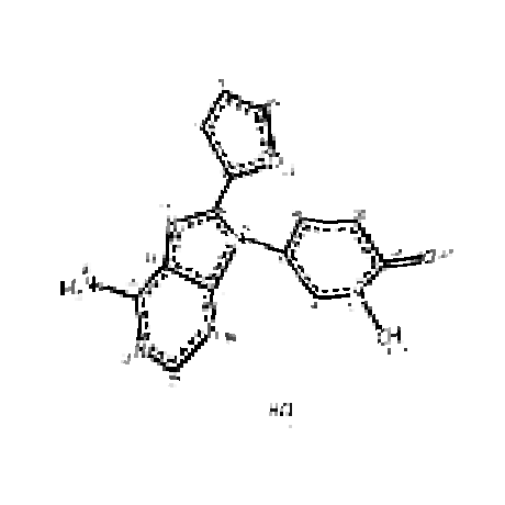 Cl.Cn1cc(-n2c(-c3ccco3)nc3c(N)ncnc32)ccc1=O